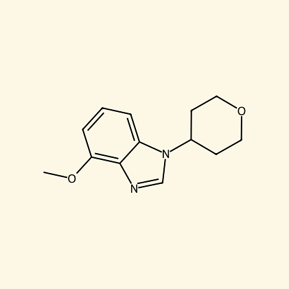 COc1cccc2c1ncn2C1CCOCC1